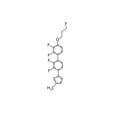 Cc1ccc(-c2ccc(-c3ccc(OCCCF)c(F)c3F)c(F)c2F)s1